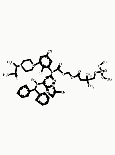 CCN(c1nc(N(C(=O)OCOC(=O)CC(C)(C)COP(=O)(OC(C)(C)C)OC(C)(C)C)c2cc(C#N)cc(N3CCN(C(C)C(N)=O)CC3)c2Cl)nn2c(C#N)cnc12)C(c1ccccc1)c1ccccc1